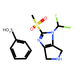 CS(=O)(=O)c1nc2c(n1C(F)F)CNC2.O=S(=O)(O)c1ccccc1